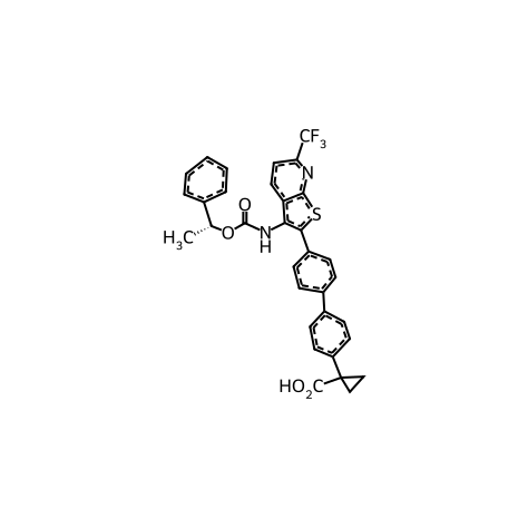 C[C@@H](OC(=O)Nc1c(-c2ccc(-c3ccc(C4(C(=O)O)CC4)cc3)cc2)sc2nc(C(F)(F)F)ccc12)c1ccccc1